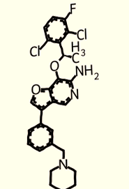 C[C@@H](Oc1c(N)ncc2c(-c3cccc(CN4CCCCC4)c3)coc12)c1c(Cl)ccc(F)c1Cl